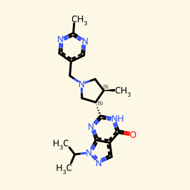 Cc1ncc(CN2C[C@@H](C)[C@H](c3nc4c(cnn4C(C)C)c(=O)[nH]3)C2)cn1